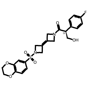 O=C([C@H](CO)c1ccc(F)cc1)N1CC(=C2CN(S(=O)(=O)c3ccc4c(c3)OCCO4)C2)C1